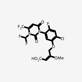 CO/C(=C/C(=O)O)COc1cc(-n2c(=O)cc(C(F)(F)F)n(C(F)F)c2=O)c(F)cc1Cl